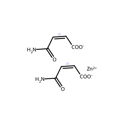 NC(=O)/C=C\C(=O)[O-].NC(=O)/C=C\C(=O)[O-].[Zn+2]